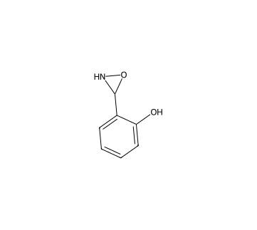 Oc1ccccc1C1NO1